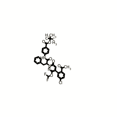 CC(=O)c1ccc(Cl)cc1-c1cc(=O)n(C(Cc2ccccc2)C(=O)Nc2ccc(C(=O)OC(C)(C)C)cc2)nc1OC(F)F